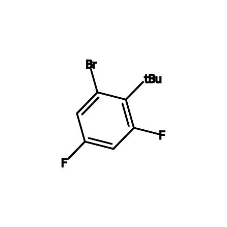 CC(C)(C)c1c(F)cc(F)cc1Br